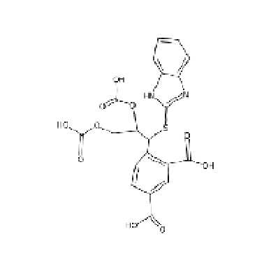 O=C(O)OCC(OC(=O)O)C(Sc1nc2ccccc2[nH]1)c1ccc(C(=O)O)cc1C(=O)O